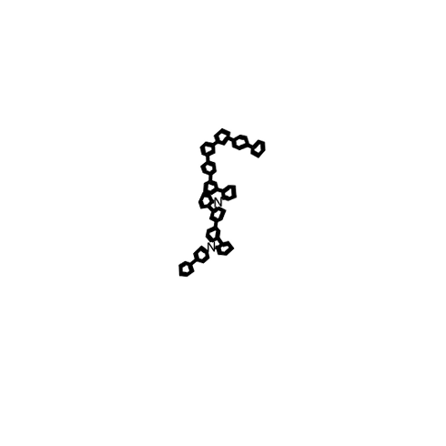 C1=CC2c3cc(-c4ccc5c(c4)c4ccccc4n5-c4ccc(-c5ccccc5)cc4)ccc3N(c3ccccc3-c3cccc(-c4ccc(-c5cccc(-c6cccc(-c7ccc(-c8ccccc8)cc7)c6)c5)cc4)c3)C2C=C1